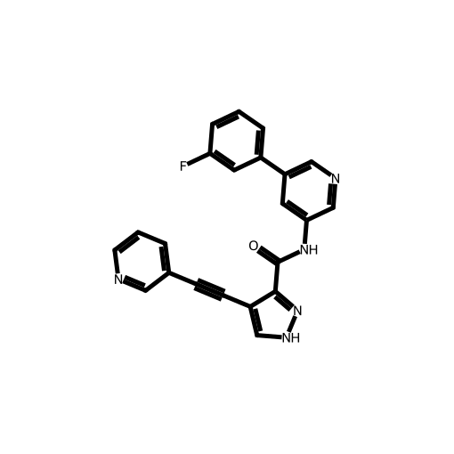 O=C(Nc1cncc(-c2cccc(F)c2)c1)c1n[nH]cc1C#Cc1cccnc1